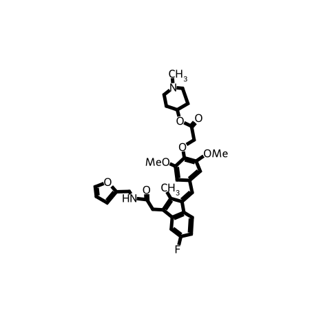 COc1cc(C=C2C(C)=C(CC(=O)NCc3ccco3)c3cc(F)ccc32)cc(OC)c1OCC(=O)OC1CCN(C)CC1